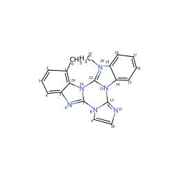 Cc1cccc2nc3n4ccnc4n4c5ccccc5[n+](C)c4n3c12